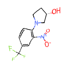 O=[N+]([O-])c1cc(C(F)(F)F)ccc1N1CC[C@H](O)C1